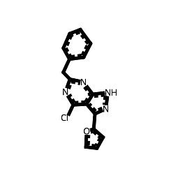 Clc1nc(Cc2ccccc2)nc2[nH]nc(-c3ccco3)c12